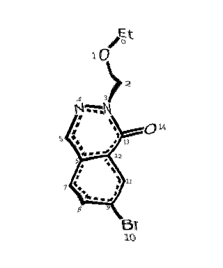 CCOCn1ncc2ccc(Br)cc2c1=O